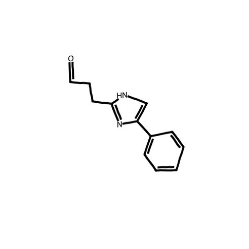 O=CCCc1nc(-c2ccccc2)c[nH]1